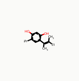 CCC(C)=C(C)c1cc(C(C)C)c(O)cc1O